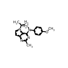 COc1ccc(N(C)c2nc(C)nc3ccn(C(C)C)c23)cc1